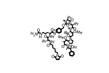 CC[C@H](C)C([C@@H](CC(=O)N1CCC[C@H]1[C@H](OC)[C@@H](C)C(=O)N[C@H](C)[C@@H](O)c1ccccc1)OC)N(C)C(=O)[C@@H](NC(=O)C(C(C)C)N(C)C(=O)OCc1ccc(NC(=O)[C@H](CCCNC(N)=O)NC(=O)[C@@H](NC(=O)CCCCCN2C(=O)C=CC2=O)C(C)C)cc1)C(C)C